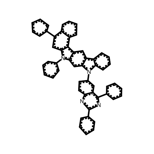 c1ccc(-c2nc(-c3ccccc3)c3cc(-n4c5ccccc5c5cc6c7c8ccccc8c(-c8ccccc8)cc7n(-c7ccccc7)c6cc54)ccc3n2)cc1